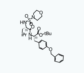 CC(C)C[C@H](NS(=O)(=O)N1CCOCC1)C(=O)N[C@@H](Cc1ccc(OCc2ccccc2)cc1)C(=O)OC(C)(C)C